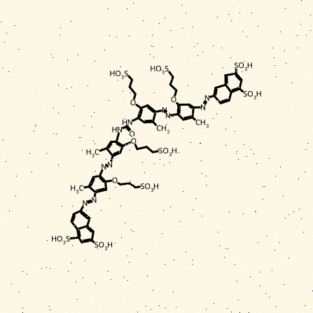 Cc1cc(N=Nc2cc(OCCCS(=O)(=O)O)c(NC(=O)Nc3cc(C)c(N=Nc4cc(C)c(N=Nc5ccc6c(S(=O)(=O)O)cc(S(=O)(=O)O)cc6c5)cc4OCCCS(=O)(=O)O)cc3OCCCS(=O)(=O)O)cc2C)c(OCCCS(=O)(=O)O)cc1N=Nc1ccc2c(S(=O)(=O)O)cc(S(=O)(=O)O)cc2c1